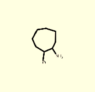 CC(C)C1CCCCCCC1N